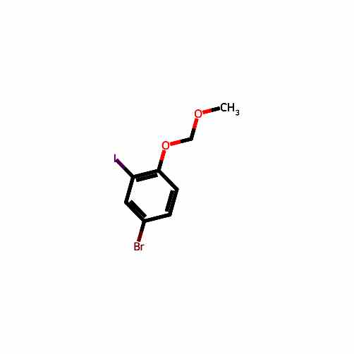 COCOc1ccc(Br)cc1I